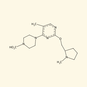 Cc1cnc(OCC2CCCN2C)nc1N1CCN(C(=O)O)CC1